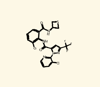 O=C(NC1CSC1)c1cccc(Cl)c1NC(=O)c1cc(C(F)(F)F)nn1-c1ncccc1Cl